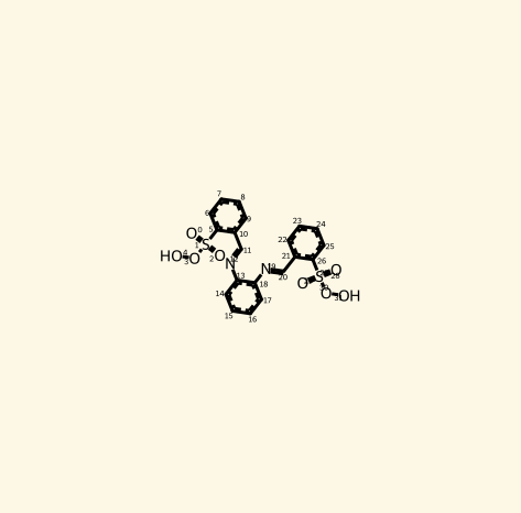 O=S(=O)(OO)c1ccccc1C=Nc1ccccc1N=Cc1ccccc1S(=O)(=O)OO